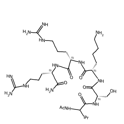 CC(=O)NC(C(=O)N[C@@H](CO)C(=O)N[C@@H](CCCCN)C(=O)N[C@@H](CCCNC(=N)N)C(=O)N[C@@H](CCCNC(=N)N)C(N)=O)C(C)C